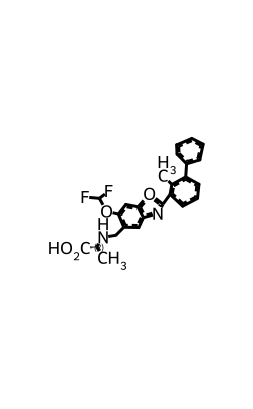 Cc1c(-c2ccccc2)cccc1-c1nc2cc(CN[C@H](C)C(=O)O)c(OC(F)F)cc2o1